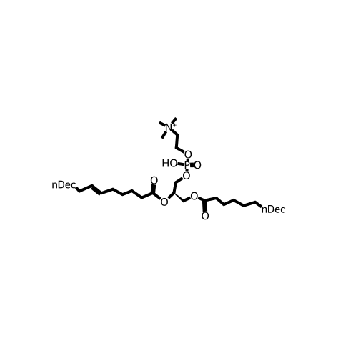 CCCCCCCCCCC/C=C/CCCCC(=O)O[C@H](COC(=O)CCCCCCCCCCCCCCC)COP(=O)(O)OCC[N+](C)(C)C